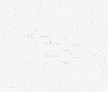 CC(NC(=O)C1CNC1)c1c(O)ccc(Cl)c1Br